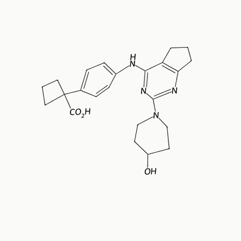 O=C(O)C1(c2ccc(Nc3nc(N4CCC(O)CC4)nc4c3CCC4)cc2)CCC1